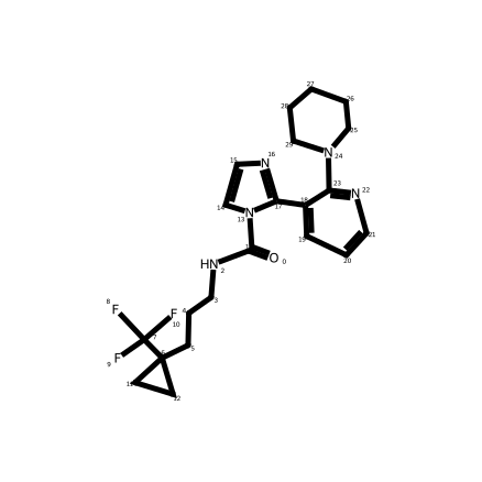 O=C(NCCCC1(C(F)(F)F)CC1)n1ccnc1-c1cccnc1N1CCCCC1